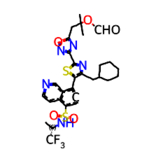 C[C@H](NS(=O)(=O)c1ccc(-c2sc(-c3noc(CC(C)(C)OC=O)n3)nc2CC2CCCCC2)c2cnccc12)C(F)(F)F